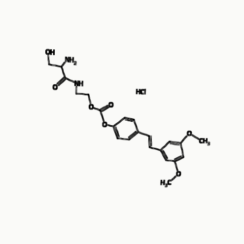 COc1cc(C=Cc2ccc(OC(=O)OCCNC(=O)C(N)CO)cc2)cc(OC)c1.Cl